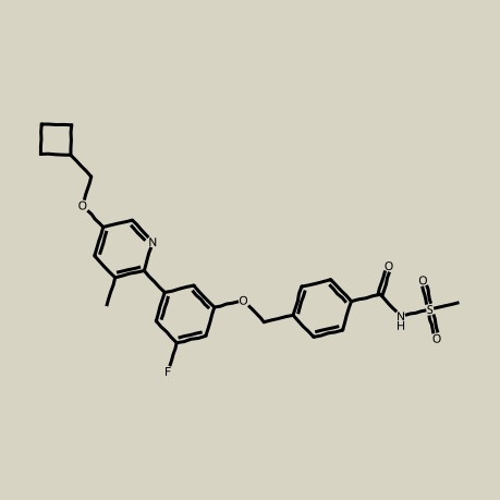 Cc1cc(OCC2CCC2)cnc1-c1cc(F)cc(OCc2ccc(C(=O)NS(C)(=O)=O)cc2)c1